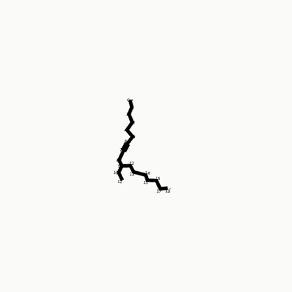 [CH2]CCCCCC#CCC(CC)CCCCCC[CH2]